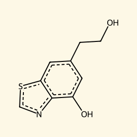 OCCc1cc(O)c2ncsc2c1